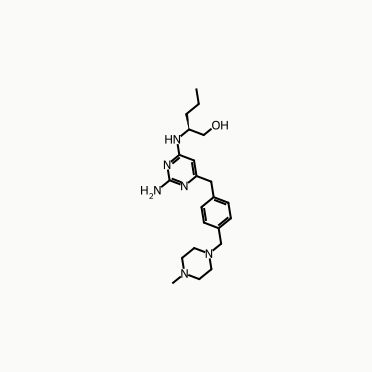 CCC[C@@H](CO)Nc1cc(Cc2ccc(CN3CCN(C)CC3)cc2)nc(N)n1